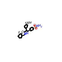 CSc1ccc(-c2c(-c3ccc(S(N)(=O)=O)cc3)nn(Cc3ccccc3)c2C(F)(F)F)cc1